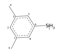 Cc1cc(C)cc([SiH3])c1